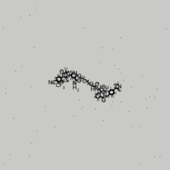 Cc1ncsc1-c1ccc(CNC(=O)C2CCCN2C(=O)C(NC(=O)COCCOCCOc2ncc(N3C(=S)N(c4ccc(C#N)c(C(F)(F)F)c4F)C(=O)C3(C)C)cc2C(N)=O)C(C)(C)C)cc1